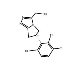 OCc1nnc2n1C[C@H](c1c(O)ccc(Cl)c1Cl)C2